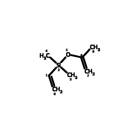 C=C[Si](C)(C)OC(=C)C